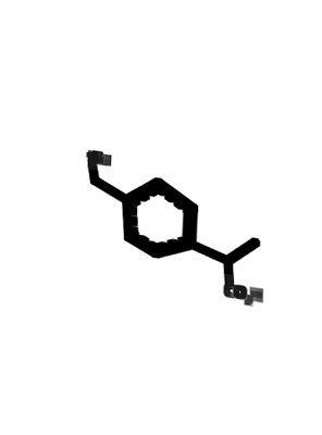 CC(C(=O)O)c1ccc(CC(C)(C)C)cc1